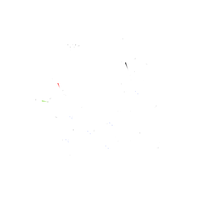 CNCCO[C@H]1CCN(c2nccc(Nc3cc4c(C(C)C)ccc(N5C[C@H](CS(C)(=O)=O)[C@H]5C)c4cn3)n2)C[C@H]1F